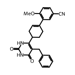 COc1ccc(C#N)cc1C1=CCC(c2[nH]c(=O)[nH]c(=O)c2Cc2ccccc2)CC1